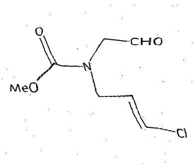 COC(=O)N(CC=O)CC=CCl